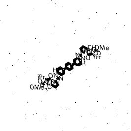 COC(=O)N[C@H](C(=O)N1[C@H](C)CC[C@H]1c1nc2cc(-c3ccc(-c4ccc5[nH]c([C@@H]6CC[C@H](C)N6C(=O)[C@@H](NC(=O)OC)C(C)C)nc5c4)cc3)ccc2[nH]1)C(C)C